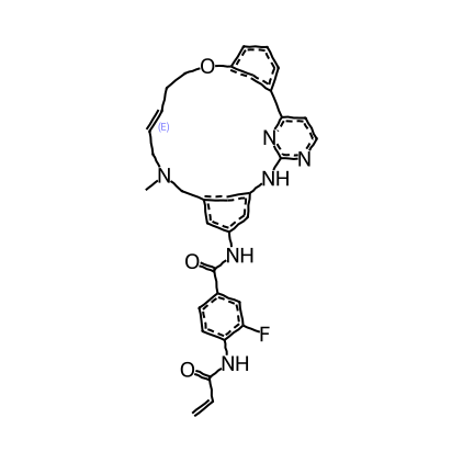 C=CC(=O)Nc1ccc(C(=O)Nc2cc3cc(c2)Nc2nccc(n2)-c2cccc(c2)OCC/C=C/CN(C)C3)cc1F